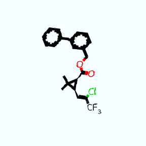 CC1(C)[C@H](C=C(Cl)C(F)(F)F)[C@@H]1C(=O)OCc1cccc(-c2ccccc2)c1